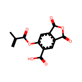 C=C(C)C(=O)Oc1cc2c(cc1C(=O)O)C(=O)OC2=O